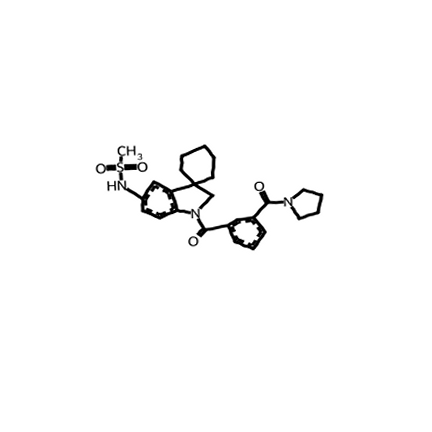 CS(=O)(=O)Nc1ccc2c(c1)C1(CCCCC1)CN2C(=O)c1cccc(C(=O)N2CCCC2)c1